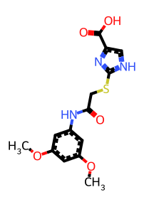 COc1cc(NC(=O)CSc2nc(C(=O)O)c[nH]2)cc(OC)c1